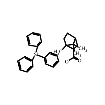 CC1(C)C2CCC1(C)C(C(=O)[O-])C2.c1ccc([S+](c2ccccc2)c2ccccc2)cc1